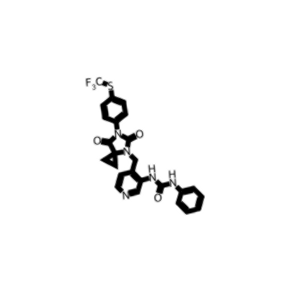 O=C(Nc1ccccc1)Nc1cnccc1CN1C(=O)N(c2ccc(SC(F)(F)F)cc2)C(=O)C12CC2